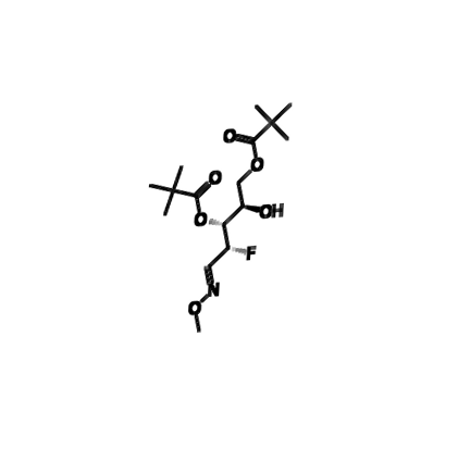 CON=C[C@@H](F)[C@H](OC(=O)C(C)(C)C)[C@H](O)COC(=O)C(C)(C)C